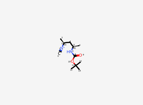 [C-]#[N+][C@@H](C)C[C@@H](C)NC(=O)OC(C)(C)C